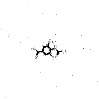 CC(=O)Nc1c(N)cc(C(=O)O)cc1N